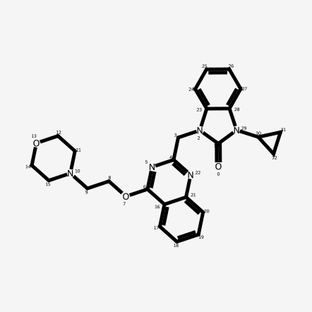 O=c1n(Cc2nc(OCCN3CCOCC3)c3ccccc3n2)c2ccccc2n1C1CC1